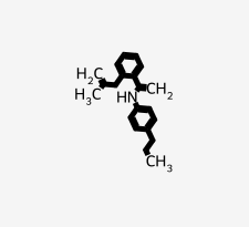 C=C(C)Cc1ccccc1C(=C)Nc1ccc(CCC)cc1